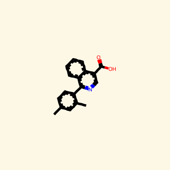 Cc1ccc(-c2ncc(C(=O)O)c3ccccc23)c(C)c1